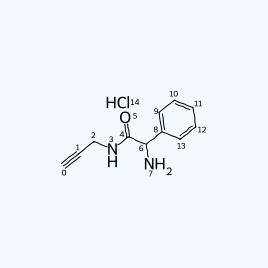 C#CCNC(=O)C(N)c1ccccc1.Cl